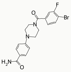 NC(=O)c1ccc(N2CCN(C(=O)c3ccc(Br)c(F)c3)CC2)cc1